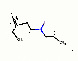 C=C(CC)CCN(I)CCC